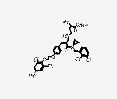 COC(=O)C(CCNCC(Cc1ccc(OCCOc2c(Cl)cc(C)cc2Cl)cc1)C(=O)N(Cc1cccc(Cl)c1Cl)C1CC1)C(C)C